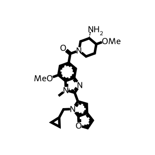 COc1cc(C(=O)N2CCC(OC)[C@@H](N)C2)cc2nc(-c3cc4ccoc4n3CC3CC3)n(C)c12